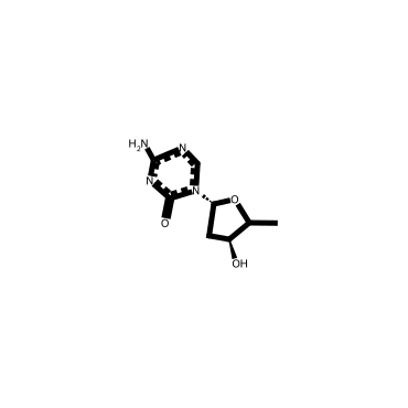 CC1O[C@@H](n2cnc(N)nc2=O)C[C@@H]1O